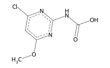 COc1cc(Cl)nc(NC(=O)O)n1